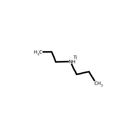 CCCNCCC.[Ti]